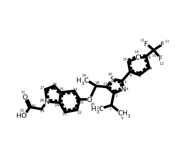 CC(C)c1nc(-c2ccc(C(F)(F)F)cc2)sc1C(C)Oc1ccc2c(ccn2CC(=O)O)c1